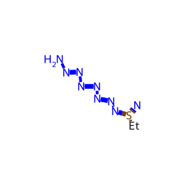 CCS(#N)=NN=NN=NN=NN